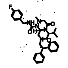 CC(C)[C@H]1C(=O)N(CC(c2ccccc2)c2ccccc2)C[C@H]2N1C(=O)CN(C)N2C(=O)NCc1ccc(F)cc1